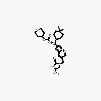 C[C@@H]1CN(Cc2cnn3cc([C@@H](NC(=O)OC4CCOCC4)C4CCC(F)(F)CC4)nc3c2)C(=O)N1